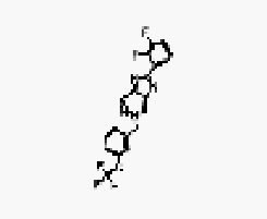 Fc1cccc(-c2nc3cnn(Cc4cccc(OC(F)(F)F)c4)cc-3n2)c1F